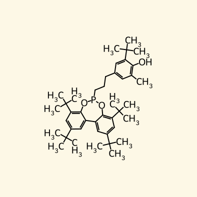 Cc1cc(CCCp2oc3c(C(C)(C)C)cc(C(C)(C)C)cc3c3cc(C(C)(C)C)cc(C(C)(C)C)c3o2)cc(C(C)(C)C)c1O